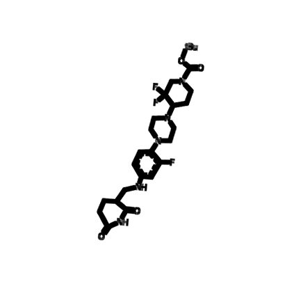 CC(C)(C)OC(=O)N1CCC(N2CCN(c3ccc(NCC4CCC(=O)NC4=O)cc3F)CC2)C(F)(F)C1